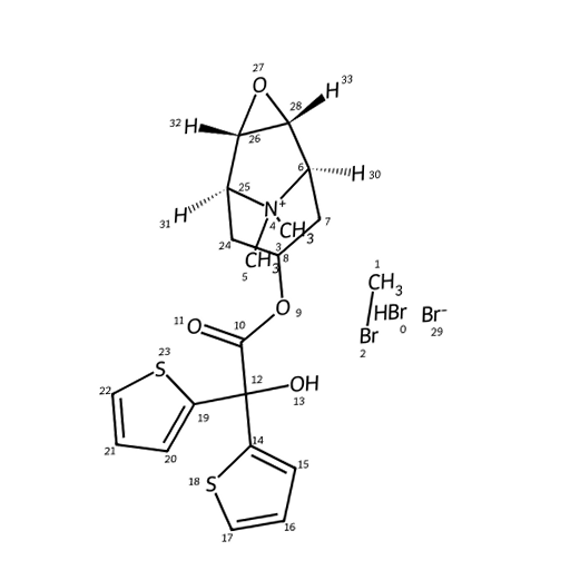 Br.CBr.C[N+]1(C)[C@@H]2CC(OC(=O)C(O)(c3cccs3)c3cccs3)C[C@H]1[C@@H]1O[C@@H]12.[Br-]